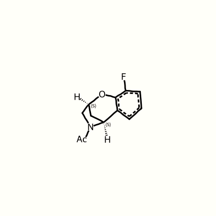 CC(=O)N1C[C@@H]2C[C@H]1c1cccc(F)c1O2